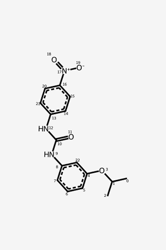 CC(C)Oc1cccc(NC(=O)Nc2ccc([N+](=O)[O-])cc2)c1